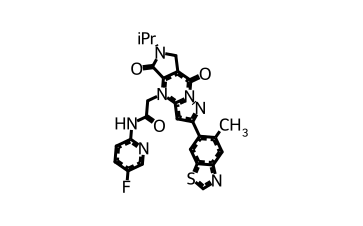 Cc1cc2ncsc2cc1-c1cc2n(CC(=O)Nc3ccc(F)cn3)c3c(c(=O)n2n1)CN(C(C)C)C3=O